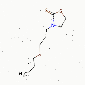 CCCSCCCN1CCSC1=S